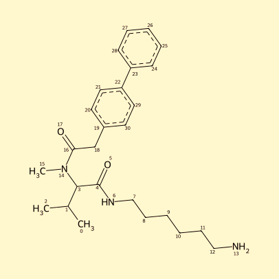 CC(C)C(C(=O)NCCCCCCN)N(C)C(=O)Cc1ccc(-c2ccccc2)cc1